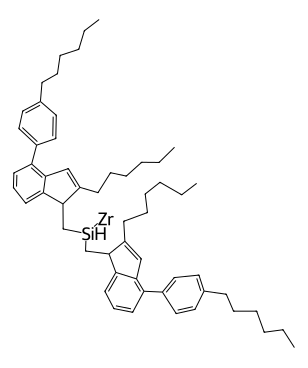 CCCCCCC1=Cc2c(-c3ccc(CCCCCC)cc3)cccc2C1C[SiH]([Zr])CC1C(CCCCCC)=Cc2c(-c3ccc(CCCCCC)cc3)cccc21